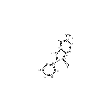 Cc1ccc2c(=O)n(-c3ccccc3)sc2c1